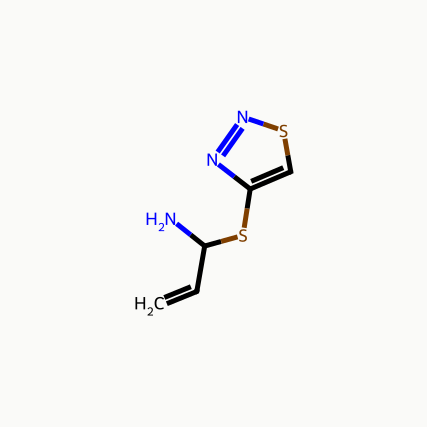 C=CC(N)Sc1csnn1